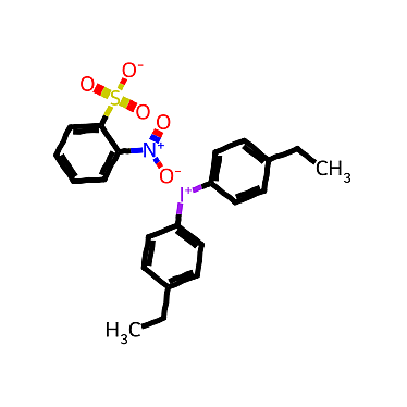 CCc1ccc([I+]c2ccc(CC)cc2)cc1.O=[N+]([O-])c1ccccc1S(=O)(=O)[O-]